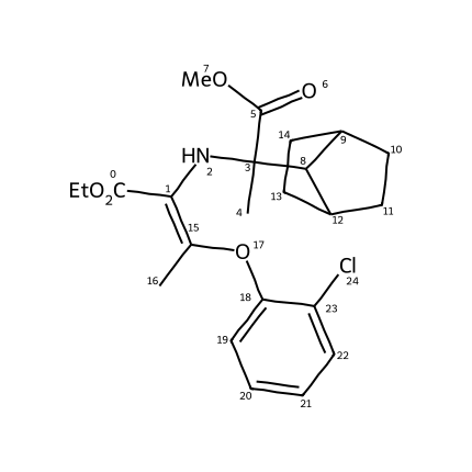 CCOC(=O)C(NC(C)(C(=O)OC)C1C2CCC1CC2)=C(C)Oc1ccccc1Cl